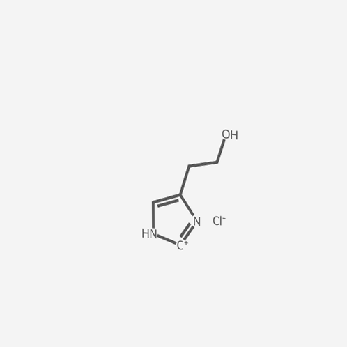 OCCC1=CN[C+]=N1.[Cl-]